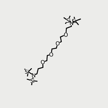 C[Si](C)(C)N(CCCOCCOCCOCCOCCN([Si](C)(C)C)[Si](C)(C)C)[Si](C)(C)C